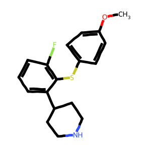 COc1ccc(Sc2c(F)cccc2C2CCNCC2)cc1